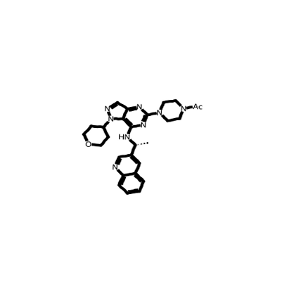 CC(=O)N1CCN(c2nc(N[C@H](C)c3cnc4ccccc4c3)c3c(cnn3C3CCOCC3)n2)CC1